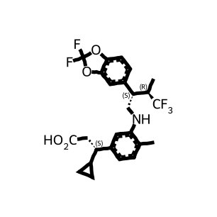 Cc1ccc([C@@H](CC(=O)O)C2CC2)cc1NC[C@H](c1ccc2c(c1)OC(F)(F)O2)[C@@H](C)C(F)(F)F